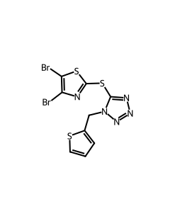 Brc1nc(Sc2nnnn2Cc2cccs2)sc1Br